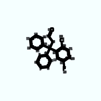 O=CCC(c1ccccc1)(c1ccccc1)c1cc(F)ncc1Cl